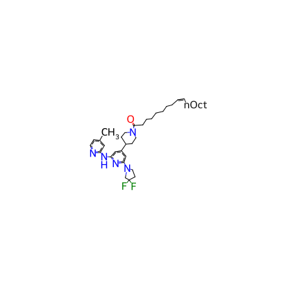 CCCCCCCC/C=C\CCCCCCCC(=O)N1CCC(c2cc(Nc3cc(C)ccn3)nc(N3CCC(F)(F)C3)c2)CC1